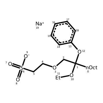 CCCCCCCCC(COCCS(=O)(=O)[O-])(OCC)Oc1ccccc1.[Na+]